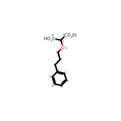 CCOC(=O)C(OCCCc1ccccc1)C(=O)O